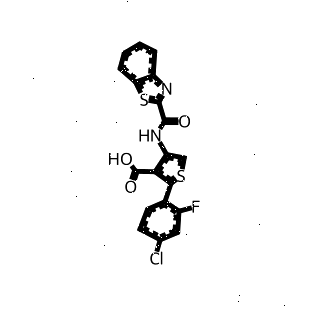 O=C(Nc1csc(-c2ccc(Cl)cc2F)c1C(=O)O)c1nc2ccccc2s1